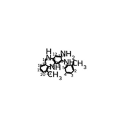 Cc1ccccc1Nc1cc2c(cc1N)NCc1cccc(C)c1N2